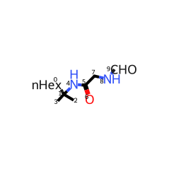 CCCCCCC(C)(C)NC(=O)CNC=O